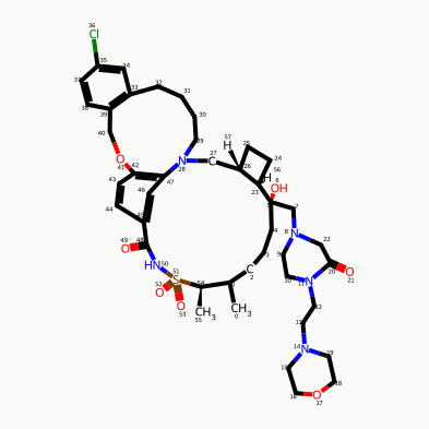 CC1CCC[C@@](O)(CN2CCN(CCN3CCOCC3)C(=O)C2)[C@@H]2CC[C@H]2CN2CCCCc3cc(Cl)ccc3COc3ccc(cc32)C(=O)NS(=O)(=O)[C@@H]1C